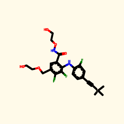 C[Si](C)(C)C#Cc1ccc(Nc2c(C(=O)NOCCO)cc(COCCO)c(F)c2F)c(F)c1